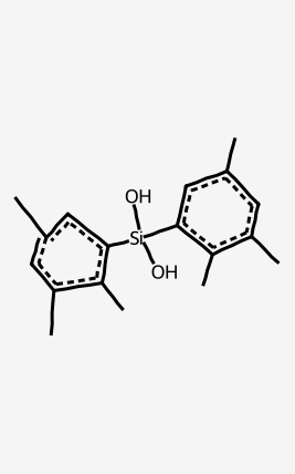 Cc1cc(C)c(C)c([Si](O)(O)c2cc(C)cc(C)c2C)c1